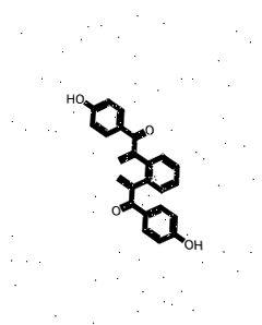 C=C(C(=O)c1ccc(O)cc1)c1[c]cc[c]c1C(=C)C(=O)c1ccc(O)cc1